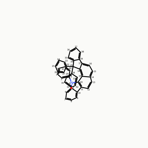 c1ccc(-n2c3ccccc3c3ccc4ccc5c(c4c32)C(c2ccccc2)(c2ccccc2)c2ccccc2-5)cc1